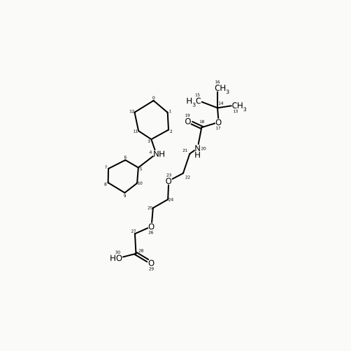 C1CCC(NC2CCCCC2)CC1.CC(C)(C)OC(=O)NCCOCCOCC(=O)O